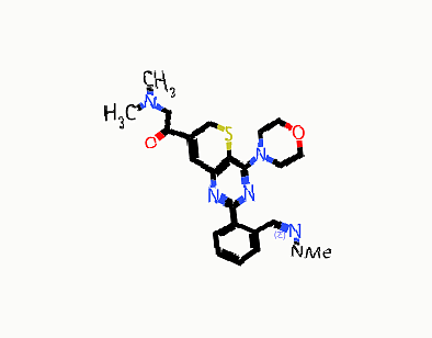 CN/N=C\c1ccccc1-c1nc2c(c(N3CCOCC3)n1)SCC(C(=O)CN(C)C)=C2